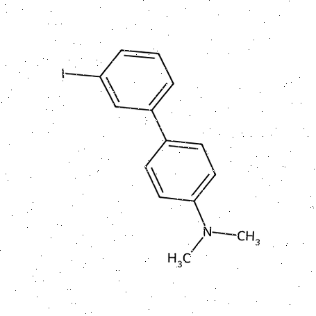 CN(C)c1ccc(-c2cccc(I)c2)cc1